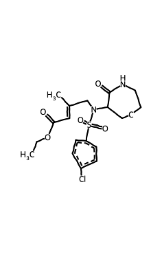 CCOC(=O)C=C(C)CN(C1CCCCNC1=O)S(=O)(=O)c1ccc(Cl)cc1